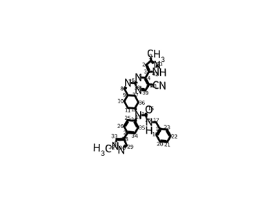 Cc1cc(-c2nc(/N=C\C3CCC(N(C(=O)NCc4ccccc4)c4ccc(-c5cnn(C)c5)cc4)CC3)ncc2C#N)[nH]n1